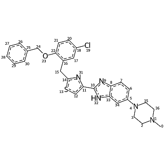 CN1CCN(c2ccc3nc(-c4csc(Cc5cc(Cl)ccc5OCc5ccccc5)n4)[nH]c3c2)CC1